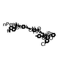 CCCCCN(CCN1CCN(CCCOc2ccc(C(=O)NCCCN(C(=O)c3ccc(C)cc3)[C@@H](c3nc4cc(Cl)ccc4c(=O)n3Cc3ccccc3)C(C)C)cn2)CC1)S(=O)(=O)c1cccc2c(N(C)C)cccc12